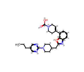 CCCc1cnc(N2CCC(Cc3nc4cccc(C5=CCN(C(=O)O)CC5)c4o3)CC2)nc1